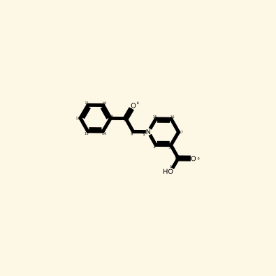 O=C(O)C1=CN(CC(=O)c2ccccc2)C=CC1